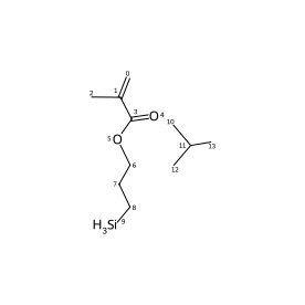 C=C(C)C(=O)OCCC[SiH3].CC(C)C